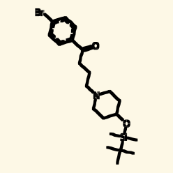 CC(C)(C)[Si](C)(C)OC1CCN(CCCC(=O)c2ccc(Br)cc2)CC1